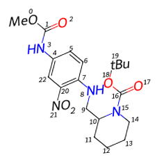 COC(=O)Nc1ccc(NCC2CCCCN2C(=O)OC(C)(C)C)c([N+](=O)[O-])c1